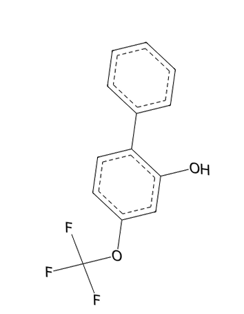 Oc1cc(OC(F)(F)F)ccc1-c1ccccc1